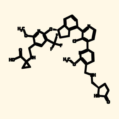 COc1nc(-c2ccnc(-c3cccc4c3CC[C@@H]4Oc3nc(OC)c(CNC4(C(=O)O)CC4)cc3C(F)(F)F)c2Cl)ccc1CNC[C@H]1CCC(=O)N1